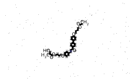 C=CC(=O)OCCCCOc1ccc(-c2ccc(C(=O)/C=C/c3ccc(OCCCCOC(=O)C(=C)CO)cc3)cc2)cc1